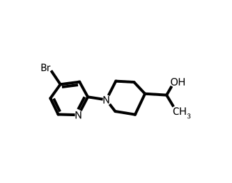 CC(O)C1CCN(c2cc(Br)ccn2)CC1